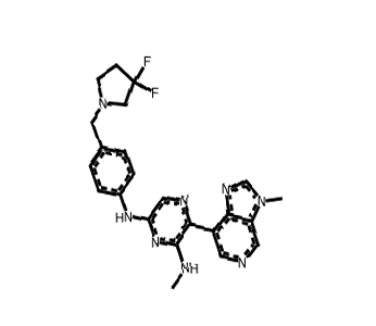 CNc1nc(Nc2ccc(CN3CCC(F)(F)C3)cc2)cnc1-c1cncc2c1ncn2C